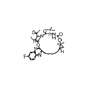 CC[C@@H]1[C@@H]2CN(C(=O)[C@H](C(C)(C)C)NC(=O)O[C@]3(C)C[C@H]3CCCCCc3nc4ccc(F)cc4nc3O2)[C@@H]1C(C)=O